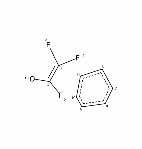 [O]C(F)=C(F)F.c1ccccc1